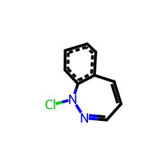 ClN1N=CC=Cc2ccccc21